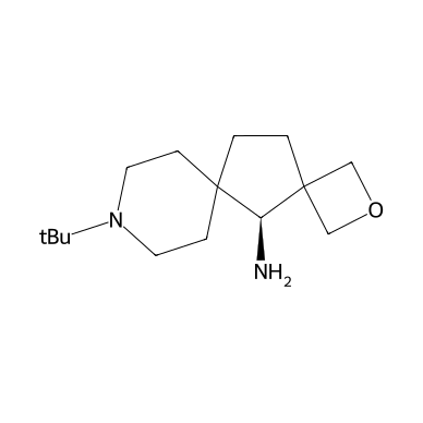 CC(C)(C)N1CCC2(CC1)CCC1(COC1)[C@H]2N